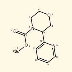 CC(C)(C)OC(=O)N1CCOCC1c1ccccn1